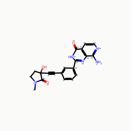 CN1CCC(O)(C#Cc2cccc(-c3nc4c(N)nccc4c(=O)[nH]3)c2)C1=O